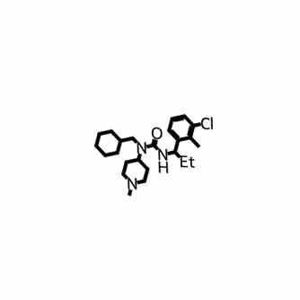 CCC(NC(=O)N(CC1CCCCC1)C1CCN(C)CC1)c1cccc(Cl)c1C